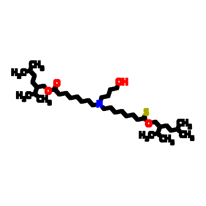 CC(C)CCC(COC(=O)CCCCCCCN(CCCCO)CCCCCCCC(=S)OCC(CCC(C)C)C(C)C)C(C)C